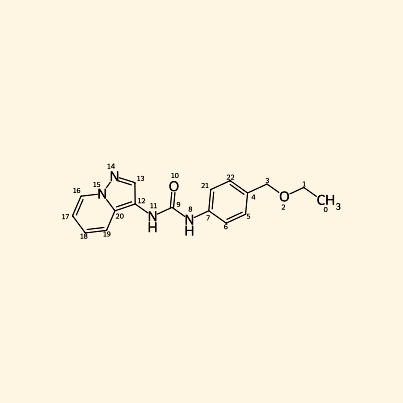 CCOCc1ccc(NC(=O)Nc2cnn3ccccc23)cc1